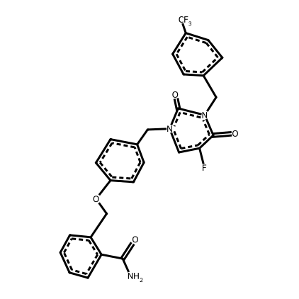 NC(=O)c1ccccc1COc1ccc(Cn2cc(F)c(=O)n(Cc3ccc(C(F)(F)F)cc3)c2=O)cc1